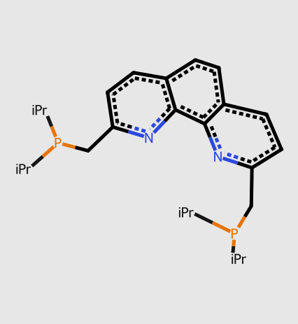 CC(C)P(Cc1ccc2ccc3ccc(CP(C(C)C)C(C)C)nc3c2n1)C(C)C